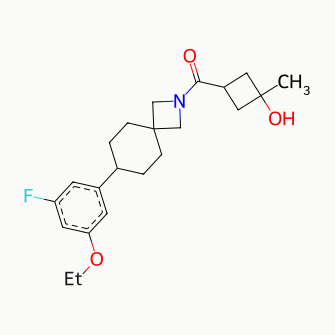 CCOc1cc(F)cc(C2CCC3(CC2)CN(C(=O)C2CC(C)(O)C2)C3)c1